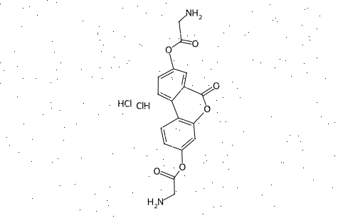 Cl.Cl.NCC(=O)Oc1ccc2c(c1)oc(=O)c1cc(OC(=O)CN)ccc12